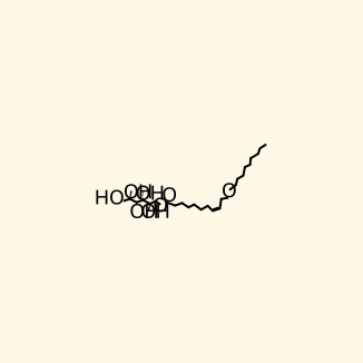 CCCCCCCCCOCC/C=C\CCCCCCC(=O)OC[C@@H](O)[C@@H](O)[C@H](O)[C@H](O)CO